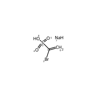 C=C(Br)S(=O)(=O)O.[NaH]